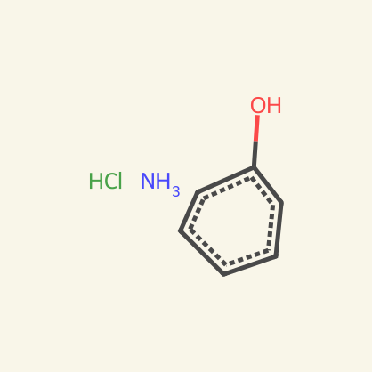 Cl.N.Oc1ccccc1